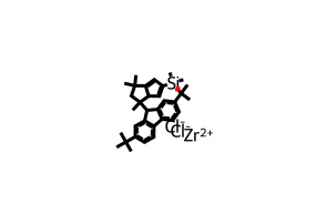 CC1(C)CC(C)(C2c3cc(C(C)(C)C)ccc3-c3ccc(C(C)(C)C)cc32)C2C=C([Si](C)(C)C)C=C21.[Cl-].[Cl-].[Zr+2]